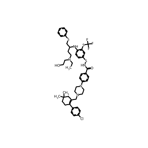 CCN(CCO)CCC(CSc1ccccc1)Nc1ccc(SNC(=O)c2ccc(N3CCN(CC4=C(c5ccc(Cl)cc5)CCC(C)(C)C4)CC3)cc2)cc1SC(F)(F)F